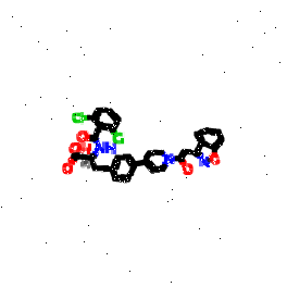 O=C(N[C@@H](Cc1ccc(C2=CCN(C(=O)Cc3noc4ccccc34)CC2)cc1)C(=O)O)c1c(Cl)cccc1Cl